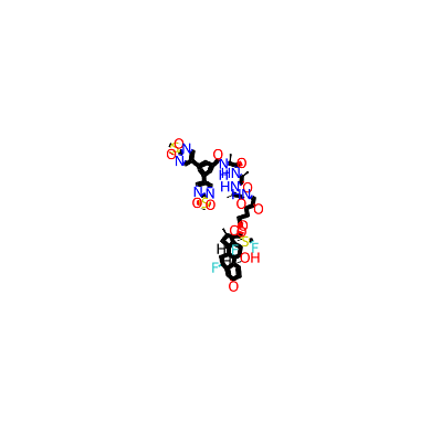 C[C@H](NC(=O)c1cc(-c2cnc(S(C)(=O)=O)nc2)cc(-c2cnc(S(C)(=O)=O)nc2)c1)C(=O)N[C@@H](C)C(=O)N[C@@H](C)C(=O)NCC(=O)CCCC(=O)O[C@]1(C(=O)SCF)[C@H](C)C[C@H]2[C@@H]3C[C@H](F)C4=CC(=O)C=C[C@]4(C)[C@@]3(F)[C@@H](O)C[C@@]21C